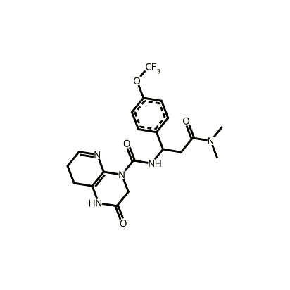 CN(C)C(=O)CC(NC(=O)N1CC(=O)NC2=C1N=CCC2)c1ccc(OC(F)(F)F)cc1